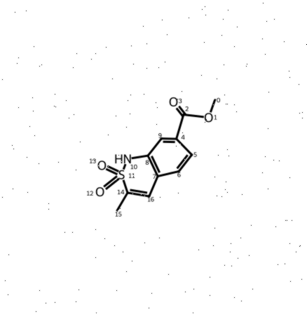 COC(=O)c1ccc2c(c1)NS(=O)(=O)C(C)=C2